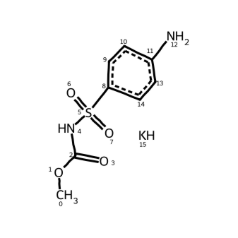 COC(=O)NS(=O)(=O)c1ccc(N)cc1.[KH]